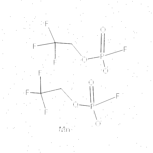 O=P([O-])(F)OCC(F)(F)F.O=P([O-])(F)OCC(F)(F)F.[Mn+2]